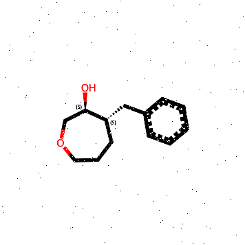 O[C@@H]1COCCC[C@H]1Cc1ccccc1